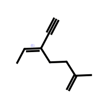 C#C/C(=C/C)CCC(=C)C